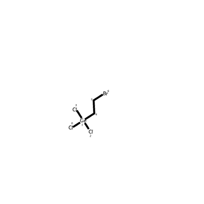 [Cl][Ge]([Cl])([Cl])[CH2]CBr